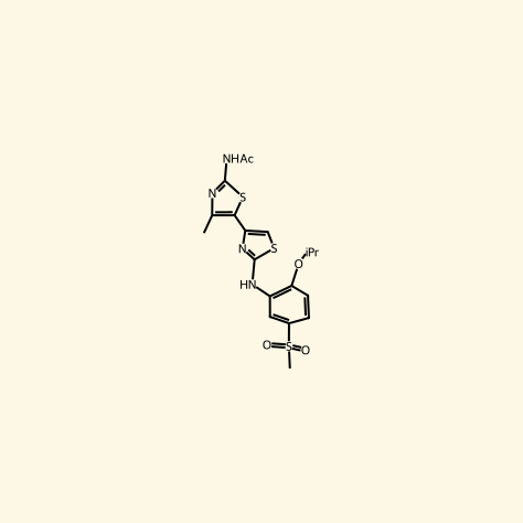 CC(=O)Nc1nc(C)c(-c2csc(Nc3cc(S(C)(=O)=O)ccc3OC(C)C)n2)s1